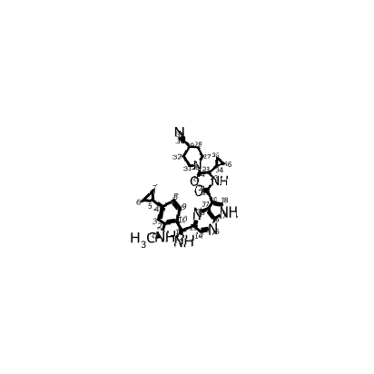 CNc1cc(C2CC2)ccc1C(=N)c1cnc2[nH]cc(C(=O)NC(C(=O)N3CCC(C#N)CC3)C3CC3)c2n1